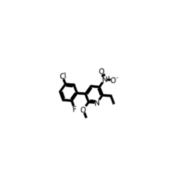 CCc1nc(OC)c(-c2cc(Cl)ccc2F)cc1[N+](=O)[O-]